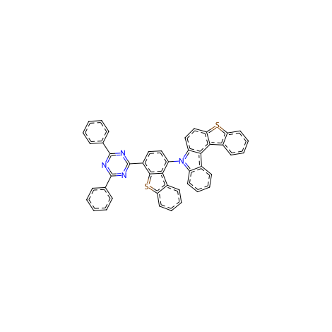 c1ccc(-c2nc(-c3ccccc3)nc(-c3ccc(-n4c5ccccc5c5c6c(ccc54)sc4ccccc46)c4c3sc3ccccc34)n2)cc1